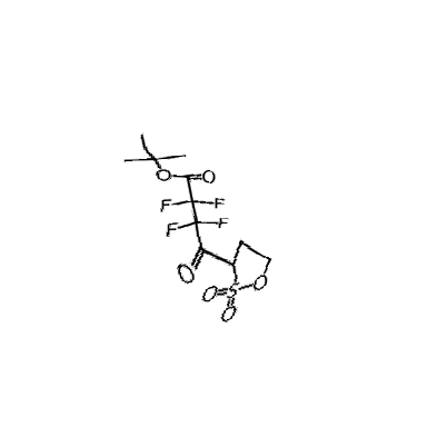 CC(C)(C)OC(=O)C(F)(F)C(F)(F)C(=O)C1CCOS1(=O)=O